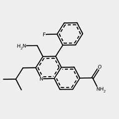 CC(C)Cc1nc2ccc(C(N)=O)cc2c(-c2ccccc2F)c1CN